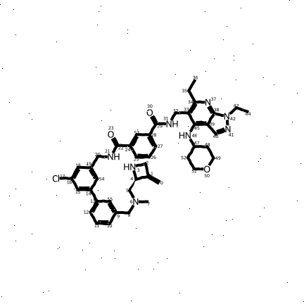 C=C1CN[C@@H]1CN(C)Cc1cccc(-c2cc(Cl)cc(CNC(=O)c3cccc(C(=O)NCc4c(CC)nc5c(cnn5CC)c4NC4CCOCC4)c3)c2)c1